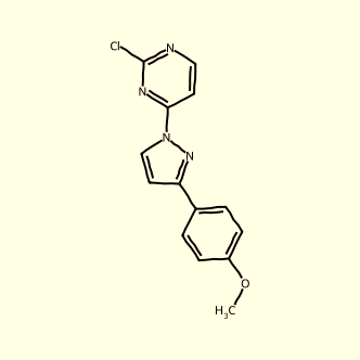 COc1ccc(-c2ccn(-c3ccnc(Cl)n3)n2)cc1